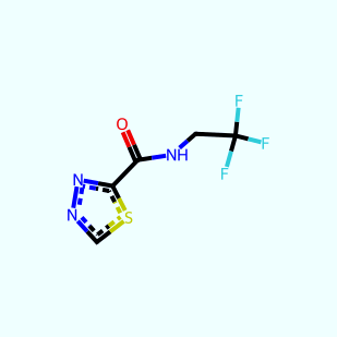 O=C(NCC(F)(F)F)c1nncs1